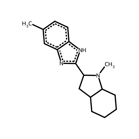 Cc1ccc2[nH]c(C3CC4CCCCC4N3C)nc2c1